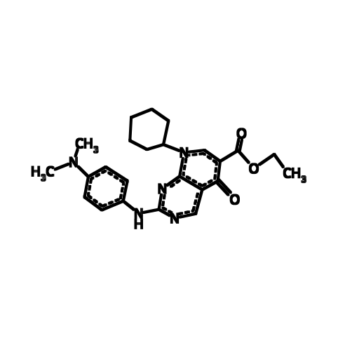 CCOC(=O)c1cn(C2CCCCC2)c2nc(Nc3ccc(N(C)C)cc3)ncc2c1=O